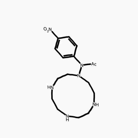 CC(=O)N(c1ccc([N+](=O)[O-])cc1)N1CCNCCNCCNCC1